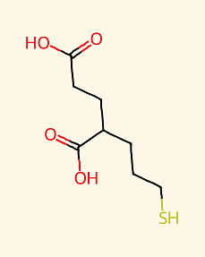 O=C(O)CCC(CCCS)C(=O)O